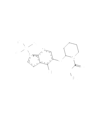 CC(C)[Si](C(C)C)(C(C)C)n1ccc2c(Cl)c(OC3CCCCN3C(=O)OC(C)(C)C)cnc21